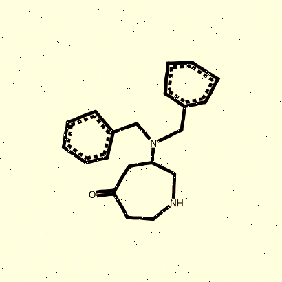 O=C1CCNCC(N(Cc2ccccc2)Cc2ccccc2)C1